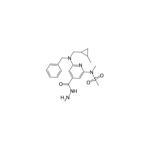 CC1CC1CN(Cc1ccccc1)c1cc(C(=O)NN)cc(N(C)S(C)(=O)=O)n1